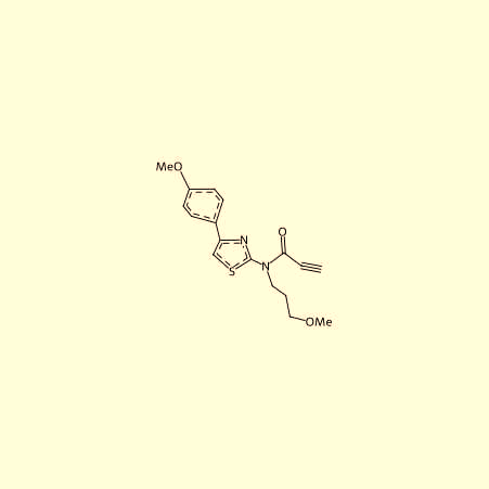 C#CC(=O)N(CCCOC)c1nc(-c2ccc(OC)cc2)cs1